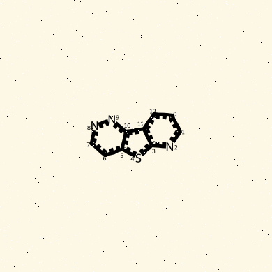 c1cnc2sc3ccnnc3c2c1